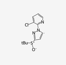 CC(C)(C)[S+]([O-])c1c[c]n(-c2ncccc2Cl)n1